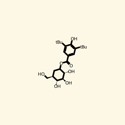 CC(C)(C)c1cc(C(=O)OC2C[C@H](CO)[C@@H](O)[C@H](O)[C@H]2O)cc(C(C)(C)C)c1O